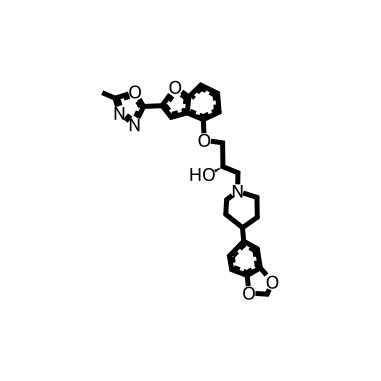 Cc1nnc(-c2cc3c(OC[C@@H](O)CN4CCC(c5ccc6c(c5)OCO6)CC4)cccc3o2)o1